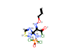 C=CCON=C(C(=O)Cl)C1(NP(=O)(Cl)Cl)N=CSN1